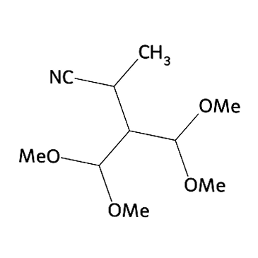 COC(OC)C(C(C)C#N)C(OC)OC